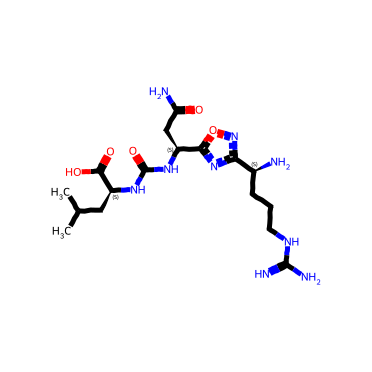 CC(C)C[C@H](NC(=O)N[C@@H](CC(N)=O)c1nc([C@@H](N)CCCNC(=N)N)no1)C(=O)O